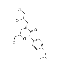 CC(C)Cc1ccc(SC(=O)N(CC(Cl)CCl)CC(Cl)CCl)cc1